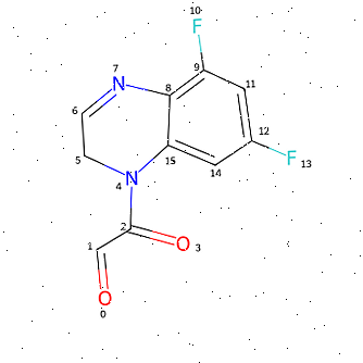 O=CC(=O)N1CC=Nc2c(F)cc(F)cc21